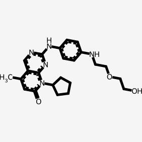 Cc1cc(=O)n(C2CCCC2)c2nc(Nc3ccc(NCCOCCO)cc3)ncc12